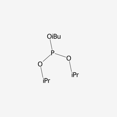 CC(C)COP(OC(C)C)OC(C)C